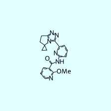 COc1ncccc1C(=O)Nc1cccc(-c2nnc3n2C2(CC3)CC2)n1